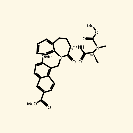 COC(=O)c1ccc2c(CN3C(=O)[C@@H](NC(=O)[C@H](C)N(C)C(=O)OC(C)(C)C)CCc4ccccc43)c(OC)ccc2c1